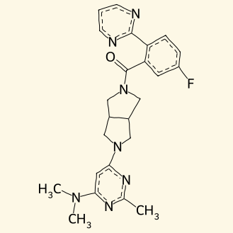 Cc1nc(N(C)C)cc(N2CC3CN(C(=O)c4cc(F)ccc4-c4ncccn4)CC3C2)n1